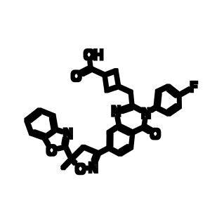 CC1(c2nc3ccccc3o2)CC(c2ccc3c(=O)n(-c4ccc(F)cc4)c(CC4CC(C(=O)O)C4)nc3c2)=NO1